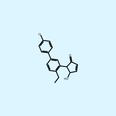 CCc1ccc(-c2ccc(Cl)cc2)cc1C1C(=O)C=CC1O